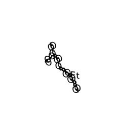 C=CC(=O)OCCCOc1ccc(C(=O)OCCCOc2ccc3cc(C(=O)Oc4ccc(OC(=O)c5ccc6cc(OC(=O)C=C)ccc6c5)c(CC)c4)ccc3c2)cc1OCCCOC(=O)C=C